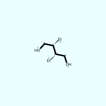 CC[C@@H](CO)[C@@H](CC)CO